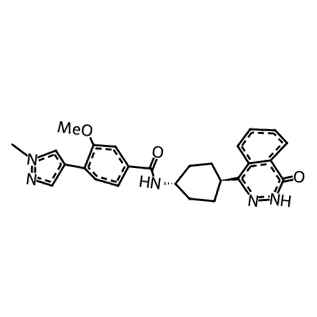 COc1cc(C(=O)N[C@H]2CC[C@H](c3n[nH]c(=O)c4ccccc43)CC2)ccc1-c1cnn(C)c1